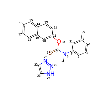 Cc1cccc(N(C)C(=S)Oc2ccc3ccccc3c2)c1.c1c[nH]nn1